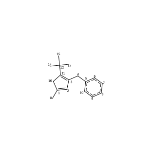 CC1=CC(Cc2ccccc2)=C(C(C)(C)C)C1